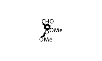 COCCCOc1cc(CC=O)ccc1OC